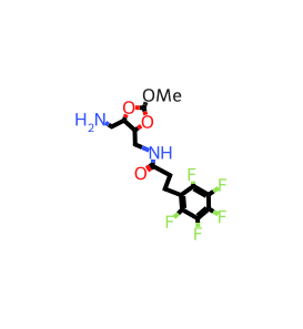 COC1OC(CN)C(CNC(=O)CCc2c(F)c(F)c(F)c(F)c2F)O1